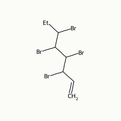 C=CC(Br)C(Br)C(Br)C(Br)CC